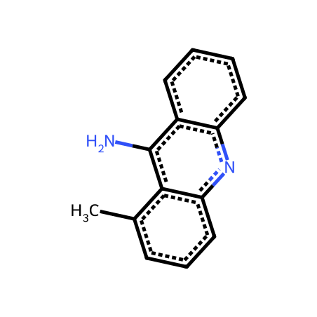 Cc1cccc2nc3ccccc3c(N)c12